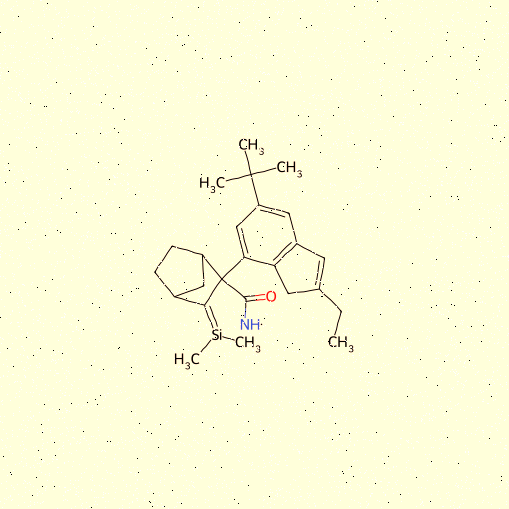 CCC1=Cc2cc(C(C)(C)C)cc(C3(C([NH])=O)C(=[Si](C)C)C4CCC3C4)c2C1